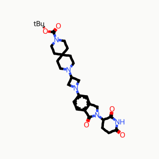 CC(C)(C)OC(=O)N1CCC2(CC1)CCN(C1CN(c3ccc4c(c3)CN(C3CCC(=O)NC3=O)C4=O)C1)CC2